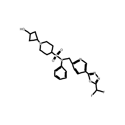 O=S(=O)(C1CCN(C2CC(O)C2)CC1)N(Cc1ccc(-c2nnc(C(F)F)o2)cn1)c1ccccc1